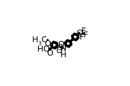 CCOc1ccc(S(=O)(=O)Nc2ccc(-c3ccc(OC(F)(F)F)cc3)cc2)cc1C(=O)O